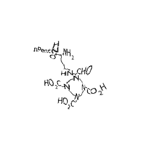 CCCCCNC(=O)[C@H](N)CCCCNC(C=O)N1CCN(CC(=O)O)CCN(CC(=O)O)CCN(CC(=O)O)CC1